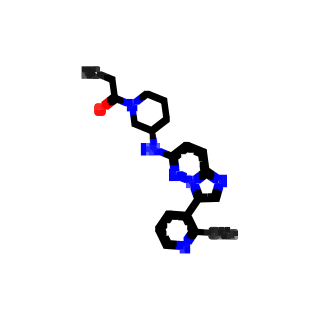 COc1ncccc1-c1cnc2ccc(N[C@@H]3CCCN(C(=O)CC#N)C3)nn12